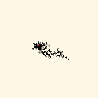 COc1ccc(CCn2cnc3cc(N/C(=N/[C@@H]4C[C@H]5C[C@@H]([C@@H]4C)C5(C)C)N4CCN[C@H](C)C4)ccc3c2=O)c(F)c1